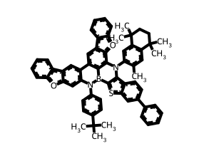 Cc1cc2c(cc1N1c3c(sc4cc(-c5ccccc5)ccc34)B3c4c(cc5c(oc6ccccc65)c41)-c1cc4c(cc1N3c1ccc(C(C)(C)C)cc1)oc1ccccc14)C(C)(C)CCC2(C)C